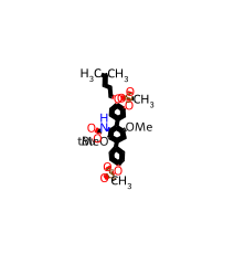 COc1cc(-c2ccc(OS(C)(=O)=O)cc2)c(OC)c(NC(=O)OC(C)(C)C)c1-c1ccc(OCCC=C(C)C)c(OS(C)(=O)=O)c1